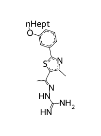 CCCCCCCOc1cccc(-c2nc(C)c(C(C)=NNC(=N)N)s2)c1